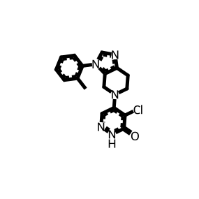 Cc1ccccc1-n1cnc2c1CN(c1cn[nH]c(=O)c1Cl)CC2